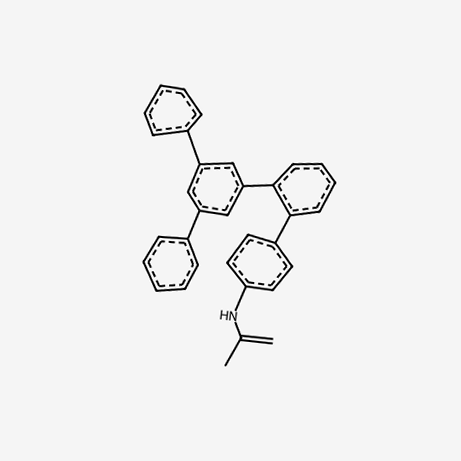 C=C(C)Nc1ccc(-c2ccccc2-c2cc(-c3ccccc3)cc(-c3ccccc3)c2)cc1